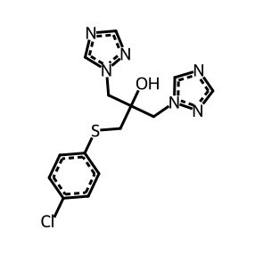 OC(CSc1ccc(Cl)cc1)(Cn1cncn1)Cn1cncn1